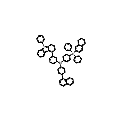 c1ccc(-n2c3ccccc3c3c(-c4cccc(N(c5ccc(-c6cccc7ccccc67)cc5)c5ccc([Si](c6ccccc6)(c6ccccc6)c6ccc7ccccc7c6)cc5)c4)cccc32)cc1